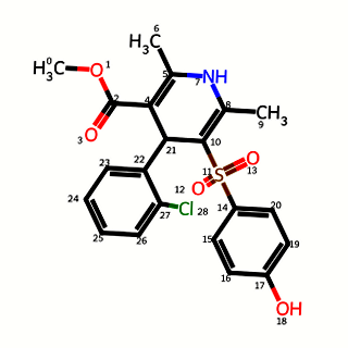 COC(=O)C1=C(C)NC(C)=C(S(=O)(=O)c2ccc(O)cc2)C1c1ccccc1Cl